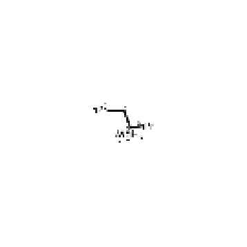 C[CH]CCCC(C)C.[MgH2]